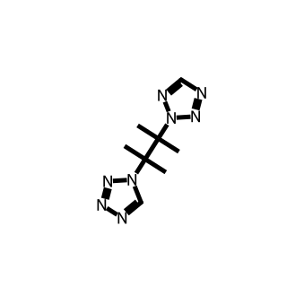 CC(C)(n1cnnn1)C(C)(C)n1ncnn1